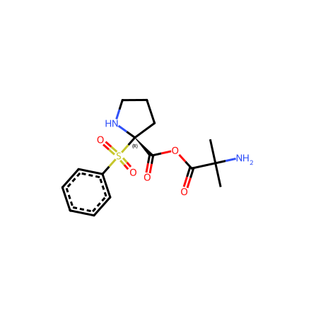 CC(C)(N)C(=O)OC(=O)[C@]1(S(=O)(=O)c2ccccc2)CCCN1